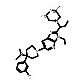 CCC(c1nc2cc(N3CCC(c4cccc(O)c4)(N(C)C)CC3)cnc2n1CC)N1C[C@@H](C)N[C@@H](C)C1